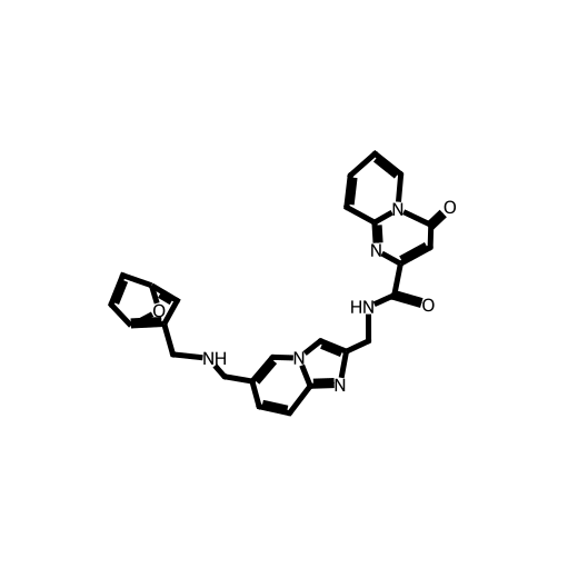 O=C(NCc1cn2cc(CNCc3cc4ccc3o4)ccc2n1)c1cc(=O)n2ccccc2n1